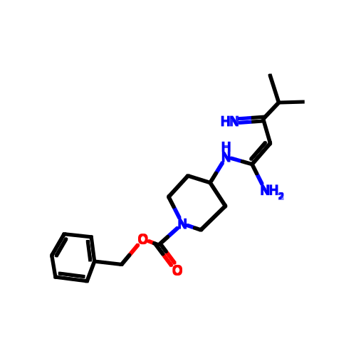 CC(C)C(=N)/C=C(/N)NC1CCN(C(=O)OCc2ccccc2)CC1